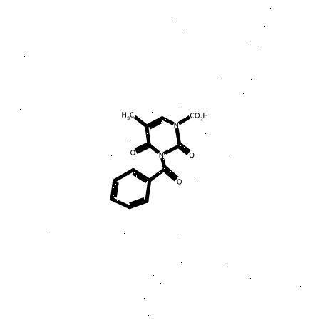 Cc1cn(C(=O)O)c(=O)n(C(=O)c2ccccc2)c1=O